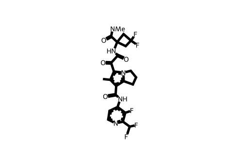 CNC(=O)C1(NC(=O)C(=O)c2c(C)c(C(=O)Nc3ccnc(C(F)F)c3F)c3n2CCC3)CC(F)(F)C1